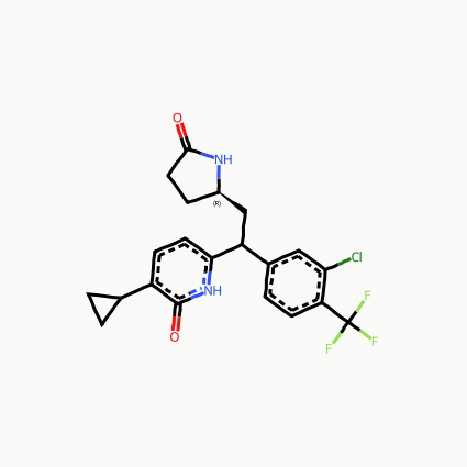 O=C1CC[C@H](CC(c2ccc(C(F)(F)F)c(Cl)c2)c2ccc(C3CC3)c(=O)[nH]2)N1